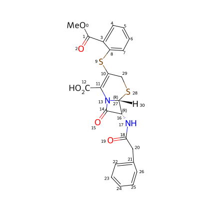 COC(=O)c1ccccc1SC1=C(C(=O)O)N2C(=O)[C@@H](NC(=O)Cc3ccccc3)[C@H]2SC1